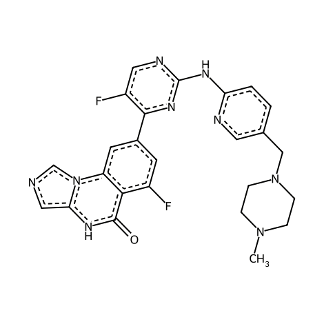 CN1CCN(Cc2ccc(Nc3ncc(F)c(-c4cc(F)c5c(=O)[nH]c6cncn6c5c4)n3)nc2)CC1